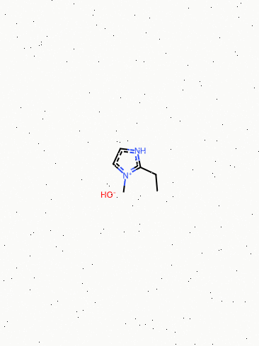 CCc1[nH]cc[n+]1C.[OH-]